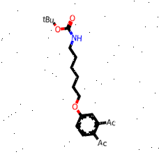 CC(=O)c1ccc(OCCCCCCNC(=O)OC(C)(C)C)cc1C(C)=O